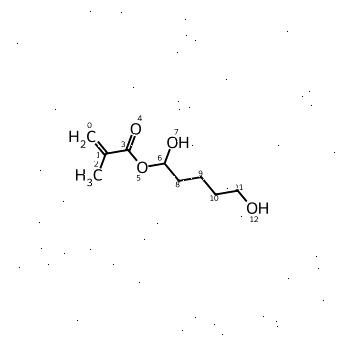 C=C(C)C(=O)OC(O)CCCCO